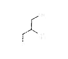 Cl.NCC(O)CBr